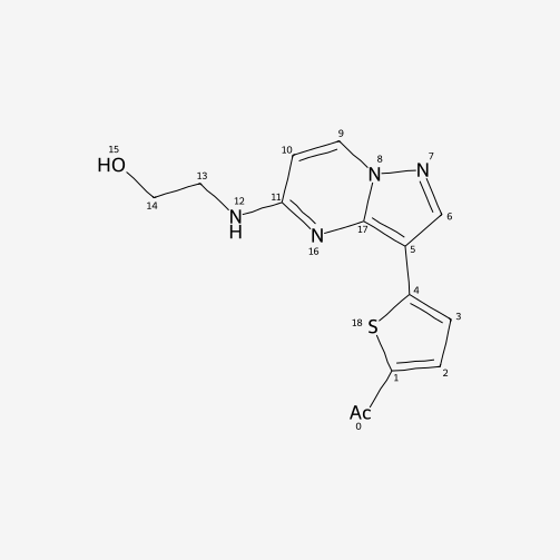 CC(=O)c1ccc(-c2cnn3ccc(NCCO)nc23)s1